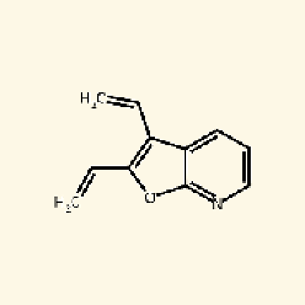 C=Cc1oc2ncccc2c1C=C